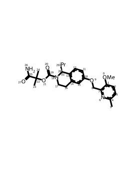 COc1ccc(C)nc1COc1ccc2c(c1)CCN(C(=O)OC(C)(C)C(N)=O)[C@H]2C(C)C